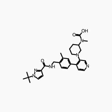 Cc1cc(-c2ccncc2N2CCCC(N(C)C(=O)O)C2)ccc1CNC(=O)c1ccn(C(C)(C)C)n1